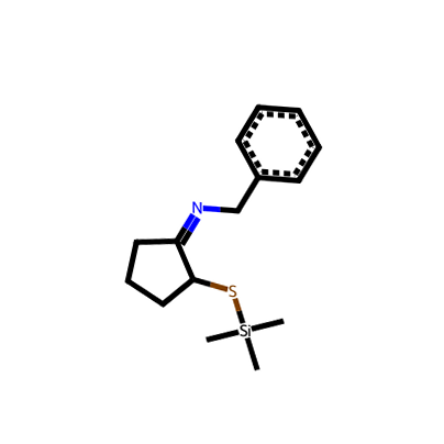 C[Si](C)(C)SC1CCC/C1=N/Cc1ccccc1